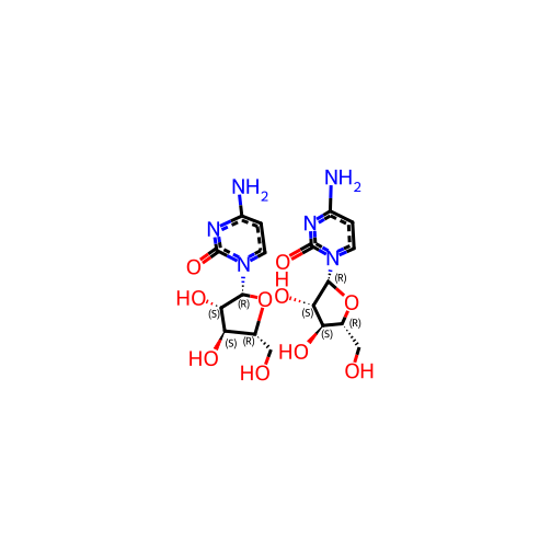 Nc1ccn([C@@H]2O[C@H](CO)[C@@H](O)[C@@H]2O)c(=O)n1.Nc1ccn([C@@H]2O[C@H](CO)[C@@H](O)[C@@H]2O)c(=O)n1